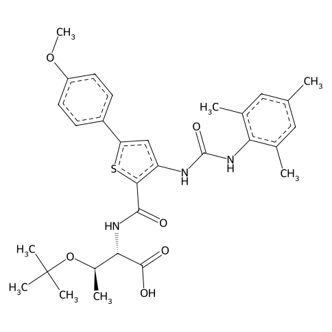 COc1ccc(-c2cc(NC(=O)Nc3c(C)cc(C)cc3C)c(C(=O)N[C@H](C(=O)O)[C@@H](C)OC(C)(C)C)s2)cc1